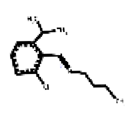 CCCC/N=C/c1c(Cl)cccc1C(C)C